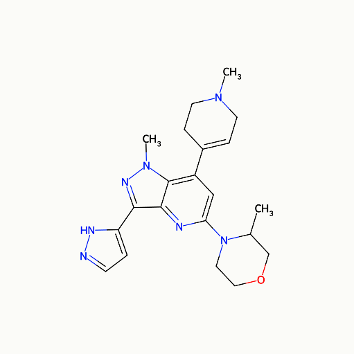 CC1COCCN1c1cc(C2=CCN(C)CC2)c2c(n1)c(-c1ccn[nH]1)nn2C